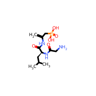 C=C(CP(=O)(O)O)NC(=O)[C@H](CC(C)C)NC(=O)CN